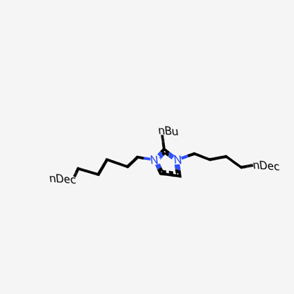 CCCCCCCCCCCCCCC[n+]1ccn(CCCCCCCCCCCCCC)c1CCCC